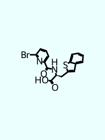 O=C(N[C@@H](Cc1cc2ccccc2s1)C(=O)O)c1cccc(Br)n1